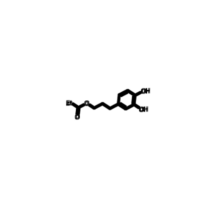 CCC(=O)OCCCc1ccc(O)c(O)c1